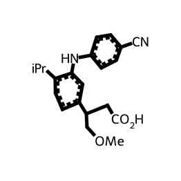 COCC(CC(=O)O)c1ccc(C(C)C)c(Nc2ccc(C#N)cc2)c1